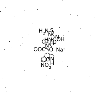 Nc1nc(/C(=N/O)C(=O)N[C@@H]2C(=O)N3C(C(=O)[O-])=C(/C(Cc4ccc([N+](=O)[O-])cc4)=C4\CCNC4=O)OC[C@H]23)cs1.[Na+]